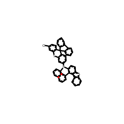 Clc1ccc2c(c1)Sc1cc(N(c3ccccc3)c3ccc4sc5ccccc5c4c3-c3ccccc3)ccc1C21c2ccccc2-c2ccccc21